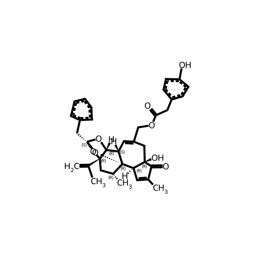 C=C(C)[C@]12C[C@@H](C)[C@@]34O[C@](Cc5ccccc5)(O[C@@H]1[C@@H]3C=C(COC(=O)Cc1ccc(O)cc1)C[C@]1(O)C(=O)C(C)=C[C@@H]41)O2